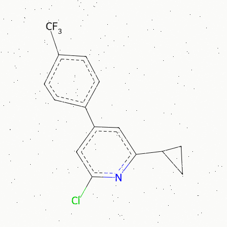 FC(F)(F)c1ccc(-c2cc(Cl)nc(C3CC3)c2)cc1